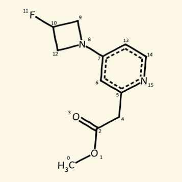 COC(=O)Cc1cc(N2CC(F)C2)ccn1